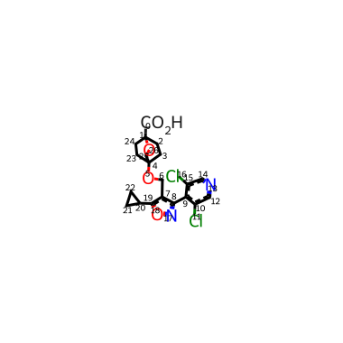 O=C(O)C12CCC(OCc3c(-c4c(Cl)cncc4Cl)noc3C3CC3)(CC1)CO2